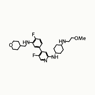 COCCN[C@H]1CC[C@H](Nc2cc(-c3ccc(F)c(NCC4CCOCC4)c3)c(F)cn2)CC1